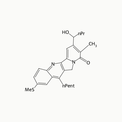 CCCCCc1c2c(nc3ccc(SC)cc13)-c1cc(C(O)CCC)c(C)c(=O)n1C2